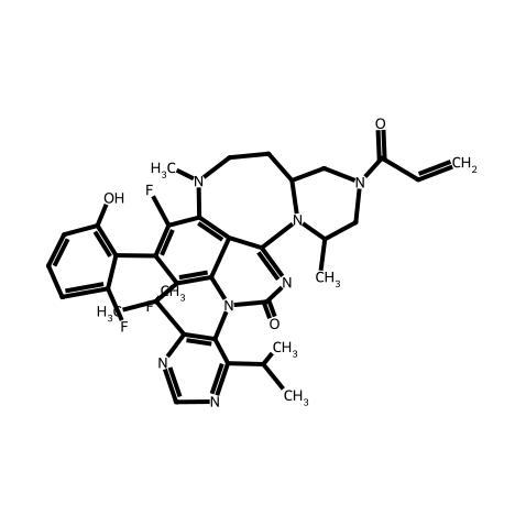 C=CC(=O)N1CC(C)N2c3nc(=O)n(-c4c(C(C)C)ncnc4C(C)C)c4c(F)c(-c5c(O)cccc5F)c(F)c(c34)N(C)CCC2C1